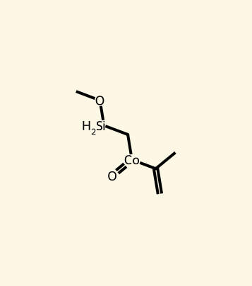 C=[C](C)[Co](=[O])[CH2][SiH2]OC